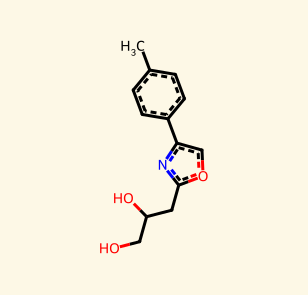 Cc1ccc(-c2coc(CC(O)CO)n2)cc1